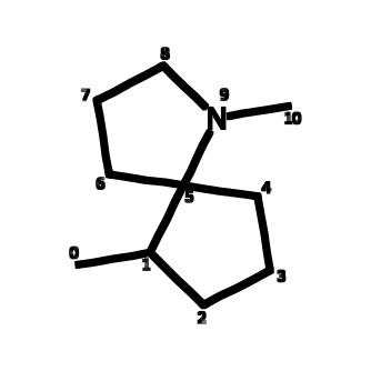 CC1CCCC12CCCN2C